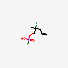 C=CCC(C)(F)COP(=O)(O)Cl